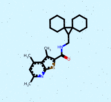 Cc1cc(C)c2c(C)c(C(=O)NCC3C4(CCCCC4)C34CCCCC4)sc2n1